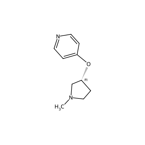 CN1CC[C@@H](Oc2ccncc2)C1